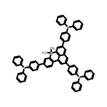 CS1(C)c2cc(-c3ccc(N(c4ccccc4)c4ccccc4)cc3)ccc2-c2cc(-c3ccc(N(c4ccccc4)c4ccccc4)cc3)cc3cc(-c4ccc(N(c5ccccc5)c5ccccc5)cc4)cc1c23